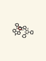 C=C1c2cccc(-c3cccc4c3oc3c(C5N=C(c6ccccc6)N=C(c6ccccc6)N5)cccc34)c2-c2c1cccc2-n1c2ccccc2c2ccccc21